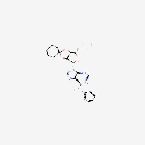 O=C(O)[C@H]1O[C@@H](n2cnc3c(Nc4ccccc4)ncnc32)[C@H]2OC3(CCCCC3)OC12